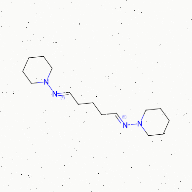 C(/CCC/C=N/N1CCCCC1)=N\N1CCCCC1